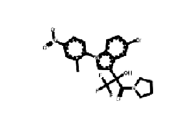 Cc1cc([N+](=O)[O-])ccc1-n1cc(C(O)(C(=O)N2CCCC2)C(F)(F)F)c2cc(Br)ccc21